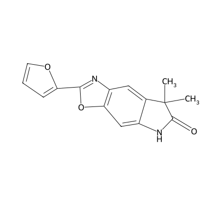 CC1(C)C(=O)Nc2cc3oc(-c4ccco4)nc3cc21